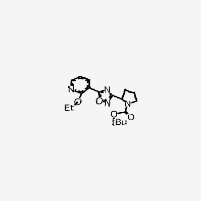 CCOc1ncccc1-c1nc(C2CCCN2C(=O)OC(C)(C)C)no1